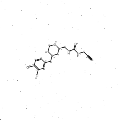 C#CCNC(=O)NC[C@H]1CN(Cc2ccc(Cl)c(Cl)c2)CCO1